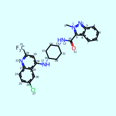 Cn1nc2ccccc2c1C(=O)N[C@H]1CC[C@@H](Nc2cc(C(F)(F)F)nc3ccc(Cl)cc23)CC1